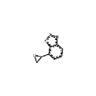 c1cc(C2CO2)c2nonc2c1